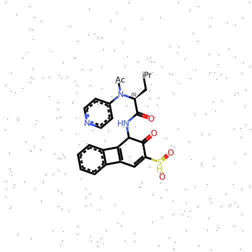 CC(=O)N(c1ccncc1)[C@@H](CC(C)C)C(=O)NC1C(=O)C([SH](=O)=O)=CC2=C1c1ccccc12